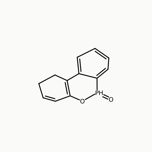 O=[PH]1OC2=C(CCC=C2)c2ccccc21